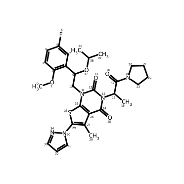 COc1ccc(F)cc1C(Cn1c(=O)n(C(C)C(=O)N2CCCC2)c(=O)c2c(C)c(-n3cccn3)sc21)OC(C)C